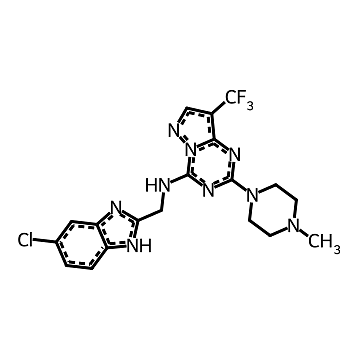 CN1CCN(c2nc(NCc3nc4cc(Cl)ccc4[nH]3)n3ncc(C(F)(F)F)c3n2)CC1